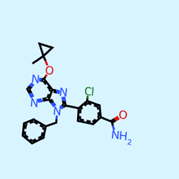 CC1(Oc2ncnc3c2nc(-c2ccc(C(N)=O)cc2Cl)n3Cc2ccccc2)CC1